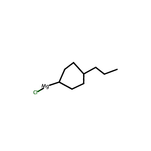 CCCC1CC[CH]([Mg][Cl])CC1